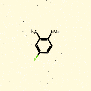 CNc1ccc(F)cc1C(F)(F)F